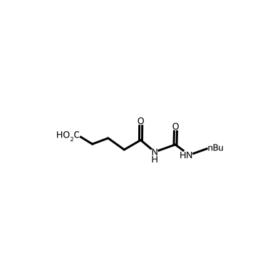 CCCCNC(=O)NC(=O)CCCC(=O)O